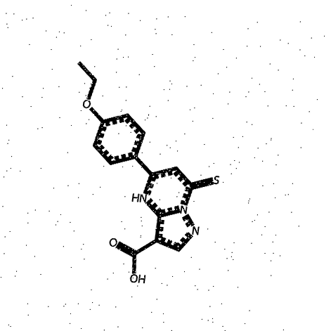 CCOc1ccc(-c2cc(=S)n3ncc(C(=O)O)c3[nH]2)cc1